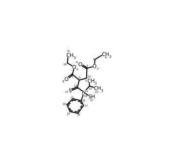 CCOC(=O)CC(C(=O)OCC)C(=S)[N+](S)(c1ccccc1)C(C)C